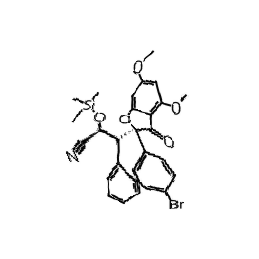 COc1cc(OC)c2c(c1)O[C@@](c1ccc(Br)cc1)(C(c1ccccc1)[C@@H](C#N)O[Si](C)(C)C)C2=O